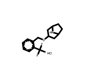 Cl.FC(F)(F)c1ccccc1COC1CC2CCC(C1)N2